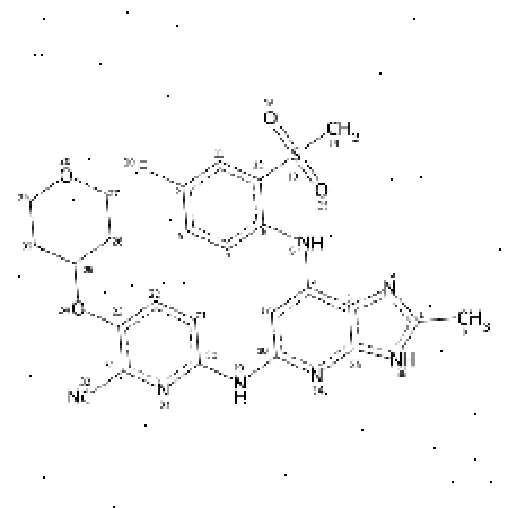 Cc1nc2c(Nc3ccc(F)cc3S(C)(=O)=O)cc(Nc3ccc(OC4CCOCC4)c(C#N)n3)nc2[nH]1